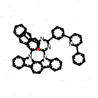 c1ccc(-c2cccc(-n3c4ccccc4c4ccc5c6ccccc6n(-c6nc(-c7ccccc7)nc(-c7cccc(-c8cccc(-c9ccccc9)n8)c7)n6)c5c43)c2)cc1